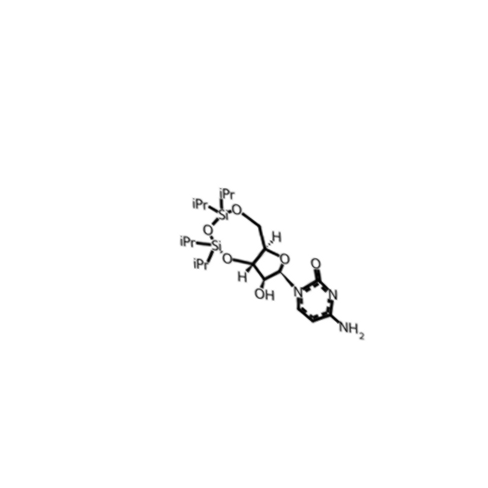 CC(C)[Si]1(C(C)C)OC[C@H]2O[C@@H](n3ccc(N)nc3=O)[C@@H](O)[C@@H]2O[Si](C(C)C)(C(C)C)O1